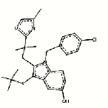 Cc1coc(C(C)(C)Cc2c(SC(C)(C)C)c3cc(O)ccc3n2Cc2ccc(Cl)cc2)n1